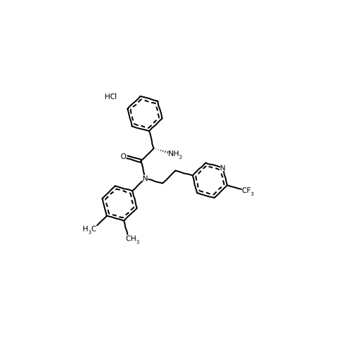 Cc1ccc(N(CCc2ccc(C(F)(F)F)nc2)C(=O)[C@@H](N)c2ccccc2)cc1C.Cl